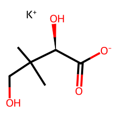 CC(C)(CO)[C@@H](O)C(=O)[O-].[K+]